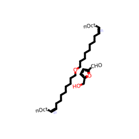 CCCCCCCC/C=C\CCCCCCCCOCCCCCCCC/C=C\CCCCCCCC.O=Cc1ccc(CO)o1